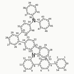 c1ccc(-c2ccc(-c3ccccc3-n3c4ccccc4c4ccc(-c5ccccc5-c5ccc(N(c6ccccc6)c6ccccc6)cc5)cc43)cc2)cc1